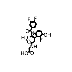 Cc1c(CC(=O)NCC(=O)O)c2c(F)c(O)ccc2n1C(=O)c1ccc(F)c(F)c1